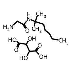 CCCCCC(C)(C)NC(=O)CN.O=C(O)C(O)C(O)C(=O)O